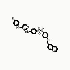 CN(C1CCC(NCc2ccc3ncccc3c2)CC1)S(=O)(=O)c1ccc(Nc2nccc(Nc3ccc(F)cc3)n2)cc1